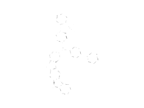 CC1(C)c2ccccc2-c2ccc(N(c3ccc(-c4ccccc4)cc3)c3ccc4oc5cc6oc7ccccc7c6cc5c4c3)cc21